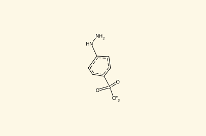 NNc1ccc(S(=O)(=O)C(F)(F)F)cc1